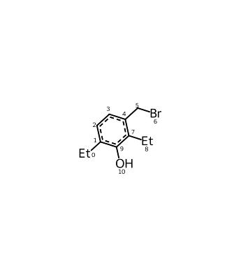 CCc1ccc(CBr)c(CC)c1O